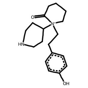 O=C1CCCC[N+]1(CCc1ccc(O)cc1)C1CCNCC1